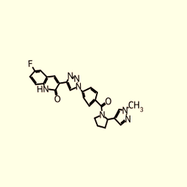 Cn1cc(C2CCCN2C(=O)c2ccc(-n3cc(-c4cc5cc(F)ccc5[nH]c4=O)nn3)cc2)cn1